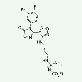 CCOC(=O)/N=C(\N)NCCCNc1nonc1-c1noc(=O)n1-c1ccc(F)c(Br)c1